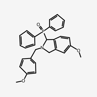 COc1ccc(CN2Cc3cc(OC)ccc3C2P(=O)(c2ccccc2)c2ccccc2)cc1